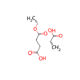 C=CC(=O)O.C=COC(=O)CCC(=O)O